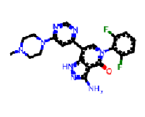 CN1CCN(c2cc(-c3cn(-c4c(F)cccc4F)c(=O)c4c(N)n[nH]c34)ncn2)CC1